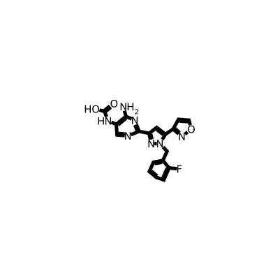 Nc1nc(-c2cc(-c3ccon3)n(Cc3ccccc3F)n2)ncc1NC(=O)O